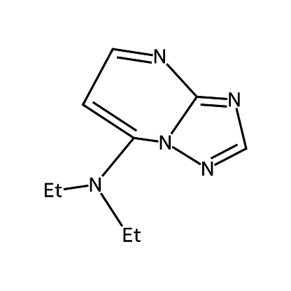 CCN(CC)c1ccnc2ncnn12